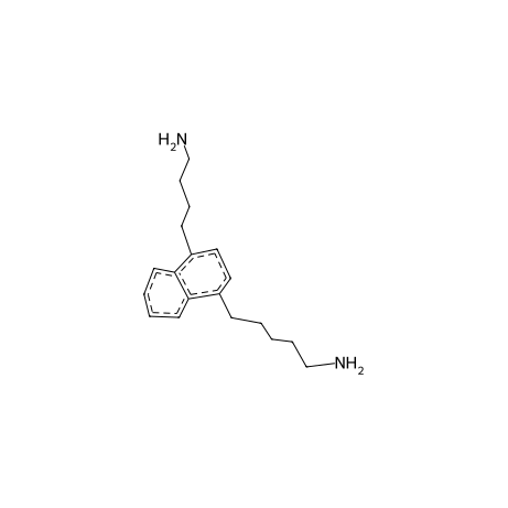 NCCCCCc1ccc(CCCCN)c2ccccc12